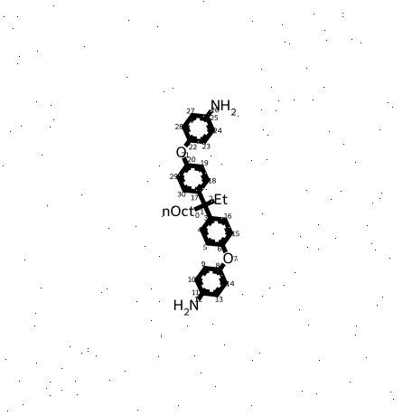 CCCCCCCCC(CC)(c1ccc(Oc2ccc(N)cc2)cc1)c1ccc(Oc2ccc(N)cc2)cc1